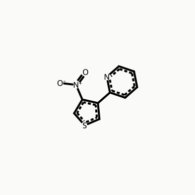 O=[N+]([O-])c1cscc1-c1ccccn1